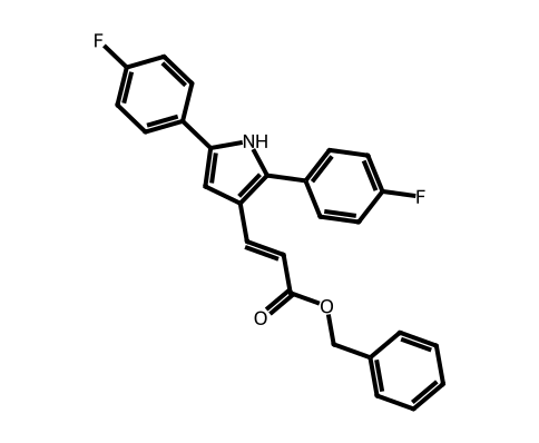 O=C(/C=C/c1cc(-c2ccc(F)cc2)[nH]c1-c1ccc(F)cc1)OCc1ccccc1